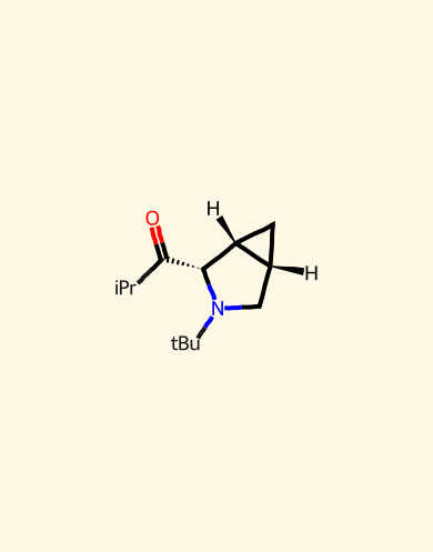 CC(C)C(=O)[C@@H]1[C@@H]2C[C@@H]2CN1C(C)(C)C